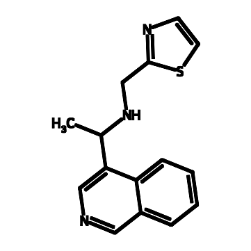 CC(NCc1nccs1)c1cncc2ccccc12